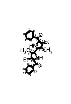 CCc1c(C(=O)c2ccccc2)[nH]c(-c2[nH]c(C(=O)c3ccccc3)c(CC)c2C)c1C